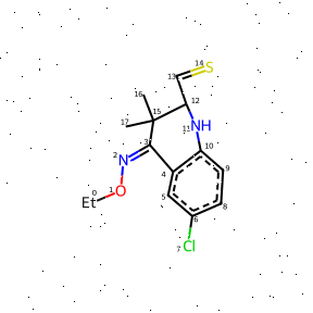 CCO/N=C1\c2cc(Cl)ccc2NC(C=S)C1(C)C